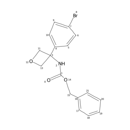 O=C(NC1(c2ccc(Br)cc2)COC1)OCc1ccccc1